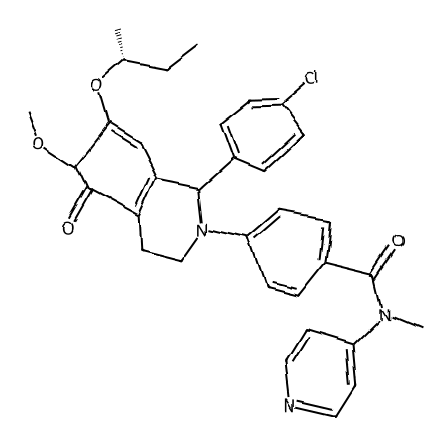 CC[C@@H](C)OC1=CC2=C(CCN(c3ccc(C(=O)N(C)c4ccncc4)cc3)C2c2ccc(Cl)cc2)C(=O)C1OC